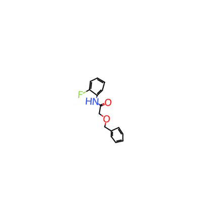 O=C(COCc1ccccc1)Nc1ccccc1F